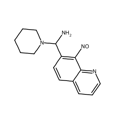 NC(c1ccc2cccnc2c1N=O)N1CCCCC1